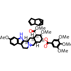 C1=CC2C3C=CC(C3)C2C1.COC(=O)[C@H]1[C@H]2C[C@@H]3c4[nH]c5cc(OC)ccc5c4CCN3C[C@H]2C[C@@H](OC(=O)c2cc(OC)c(OC)c(OC)c2)[C@@H]1OC